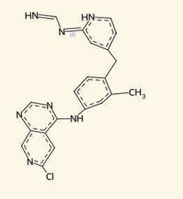 Cc1cc(Nc2ncnc3cnc(Cl)cc23)ccc1Cc1cc[nH]/c(=N\C=N)c1